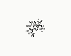 C=CC[C@H](NC(=O)[C@H](C)N(C)C(=O)OC(C)(C)C)C(=O)N1C(C=C)CC[C@H]1C=O